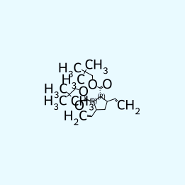 C=CC1CC(C=C)[C@@H](C(=O)OCC(C)(C)C)[C@@H]1C(=O)OCC(C)(C)C